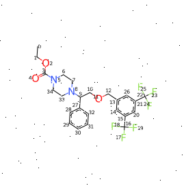 CCOC(=O)N1CCN(C(COCc2cc(C(F)(F)F)cc(C(F)(F)F)c2)c2ccccc2)CC1